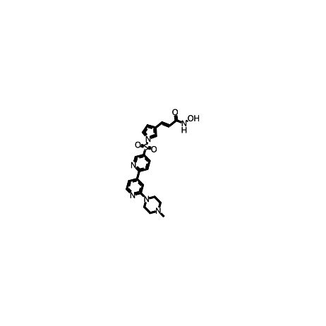 CN1CCN(c2cc(-c3ccc(S(=O)(=O)n4ccc(C=CC(=O)NO)c4)cn3)ccn2)CC1